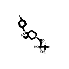 C[C@@](O)(C1OC1N1CCc2c(cnn2-c2ccc(F)cc2)C1)C(F)(F)F